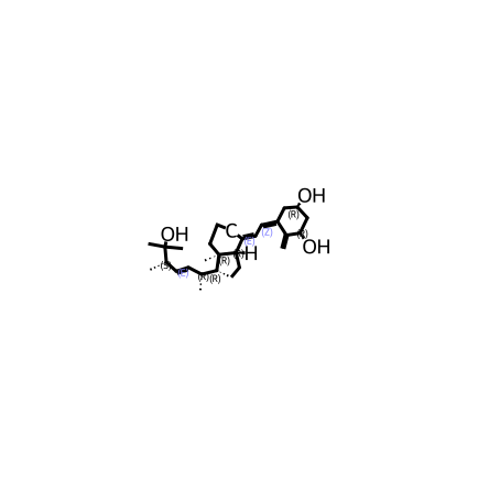 C=C1/C(=C\C=C2/CCC[C@]3(C)[C@@H]([C@H](C)/C=C/[C@H](C)C(C)(C)O)CC[C@@H]23)C[C@@H](O)C[C@H]1O